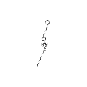 CCCCCCCCCCOc1cnc(-c2ccc(CCCCCCc3ccccc3)cc2)nc1